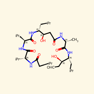 CC(C)CC(=O)N[C@@H](C(=O)N[C@H](C(=O)N[C@H](CC(C)C)[C@H](O)CC(=O)N[C@H](C)C(=O)N[C@H](CC(C)C)[C@H](O)CC=O)C(C)C)C(C)C